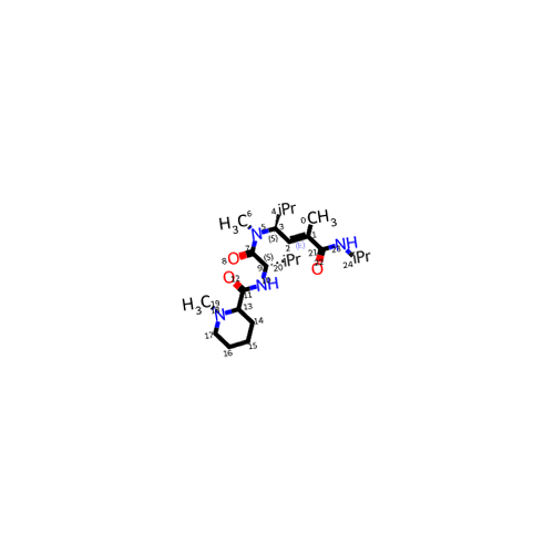 C/C(=C\[C@H](C(C)C)N(C)C(=O)[C@@H](NC(=O)C1CCCCN1C)C(C)C)C(=O)NC(C)C